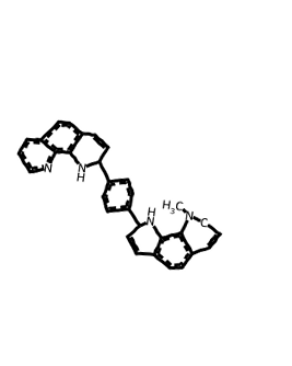 CN1CC=Cc2ccc3c(c21)NC(c1ccc(C2C=Cc4ccc5cccnc5c4N2)cc1)C=C3